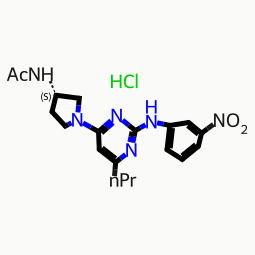 CCCc1cc(N2CC[C@H](NC(C)=O)C2)nc(Nc2cccc([N+](=O)[O-])c2)n1.Cl